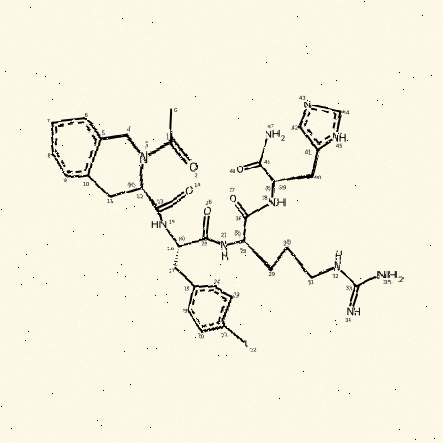 CC(=O)N1Cc2ccccc2C[C@@H]1C(=O)N[C@@H](Cc1ccc(I)cc1)C(=O)N[C@H](CCCNC(=N)N)C(=O)N[C@H](Cc1cnc[nH]1)C(N)=O